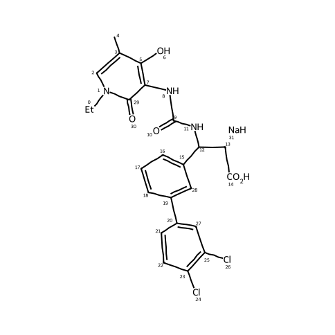 CCn1cc(C)c(O)c(NC(=O)NC(CC(=O)O)c2cccc(-c3ccc(Cl)c(Cl)c3)c2)c1=O.[NaH]